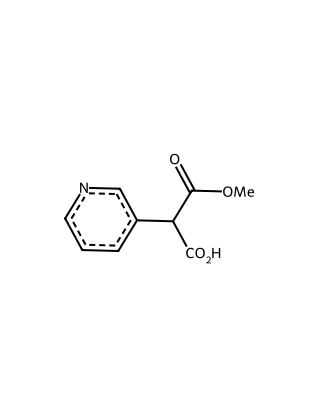 COC(=O)C(C(=O)O)c1cccnc1